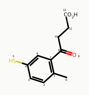 Cc1ccc(S)cc1C(=O)CCC(=O)O